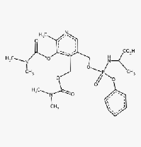 Cc1ncc(COP(=O)(NC(C)C(=O)O)Oc2ccccc2)c(COC(=O)N(C)C)c1OC(=O)N(C)C